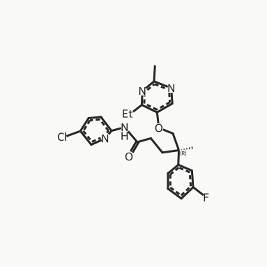 CCc1nc(C)ncc1OC[C@](C)(CCC(=O)Nc1ccc(Cl)cn1)c1cccc(F)c1